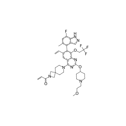 C=CC(=O)N1CC2(CCN(c3nc(OC4CCN(CCOC)CC4)nc4c(OCC(F)(F)F)c(-c5c(C)cc(F)c6[nH]ncc56)c(C=C)cc34)CC2)C1